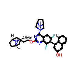 CCc1cccc2cc(O)cc(-c3c(F)cc4c(N5CC6CCC(C5)N6)nc(OCCCN5[C@@H]6CC[C@H]5C[C@@H](OC)C6)nc4c3F)c12